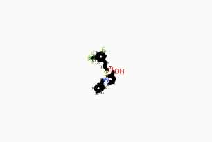 O=C(O)C1=CC=CN(CC2CC3CCC2C3)C1SCCCc1cc(F)cc(C(F)(F)F)c1